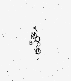 Brc1c(OCc2ncccn2)ccc2c1nnn2CC1CC1